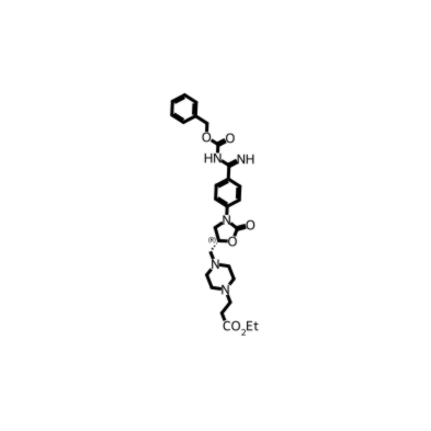 CCOC(=O)CCN1CCN(C[C@@H]2CN(c3ccc(C(=N)NC(=O)OCc4ccccc4)cc3)C(=O)O2)CC1